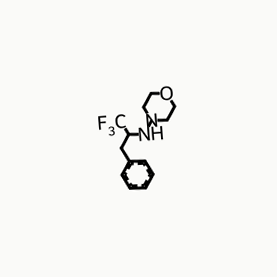 FC(F)(F)C(Cc1ccccc1)NN1CCOCC1